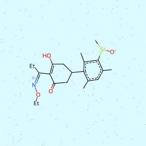 CCO/N=C(/CC)C1=C(O)CC(c2c(C)cc(C)c([S+](C)[O-])c2C)CC1=O